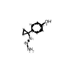 NN=NC1(c2ccc(O)cc2)CC1